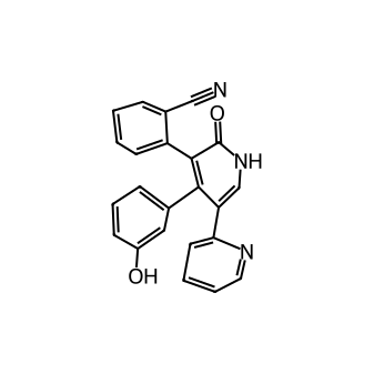 N#Cc1ccccc1-c1c(-c2cccc(O)c2)c(-c2ccccn2)c[nH]c1=O